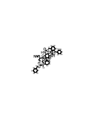 C[C@@H]([C@@H]1CC[C@@H](N=[N+]=[N-])[C@@H](O[C@@H]2[C@@H](NC(=O)OCc3ccccc3)[C@H](O)[C@@H](NC(=O)OCc3ccccc3)[C@@H]3OC4(CCCCC4)O[C@@H]23)O1)N(C)C(=O)OCc1ccccc1